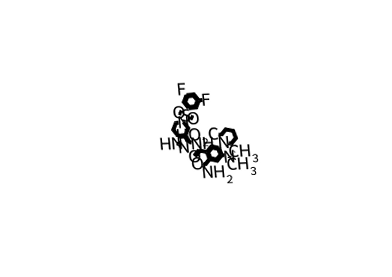 CN(C)c1cc(C(N)=O)c(C(=O)Nc2n[nH]c3c2CN(S(=O)(=O)c2cc(F)cc(F)c2)CC3)cc1N1CCCCC1C(=O)O